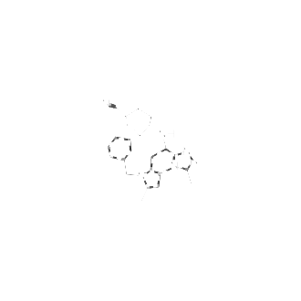 Cc1cc2c(cc(N[C@H]3CC[C@H](C#N)CC3)c3nnc(C)n32)n1Cc1ccccc1